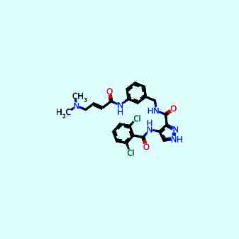 CN(C)CC=CC(=O)Nc1cccc(CNC(=O)c2n[nH]cc2NC(=O)c2c(Cl)cccc2Cl)c1